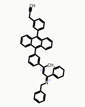 C#CCc1cccc(-c2c3ccccc3c(-c3cccc(/C(C)=C/C(=N\Cc4ccccc4)C4=CCCC=C4)c3)c3ccccc23)c1